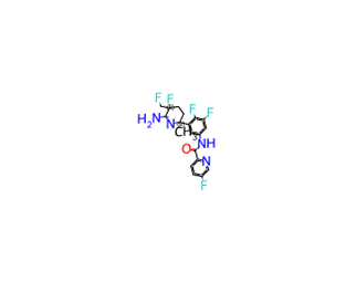 C[C@@]1(c2cc(NC(=O)c3ccc(F)cn3)cc(F)c2F)CC[C@](F)(CF)C(N)=N1